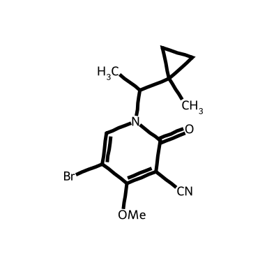 COc1c(Br)cn(C(C)C2(C)CC2)c(=O)c1C#N